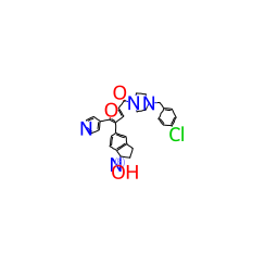 O=C(c1cc(-c2ccc3c(c2)CC/C3=N\O)c(-c2ccncc2)o1)N1CCN(Cc2ccc(Cl)cc2)CC1